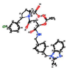 CC(=O)O[C@@H](C(=O)NCc1ccc(Cn2c(C)nc3ccccc32)cc1)[C@@H](OC(C)=O)C(=O)N1CCCC1c1cccc(Cl)c1